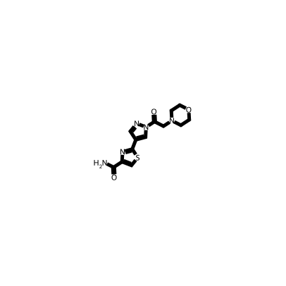 NC(=O)c1csc(-c2cnn(C(=O)CN3CCOCC3)c2)n1